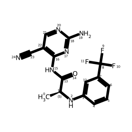 C[C@H](Nc1cccc(C(F)(F)F)c1)C(=O)Nc1nc(N)ncc1C#N